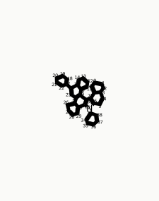 C1=CCC2C=Cc3c(c4c5c6ccccc6c(-c6ccccc6)cc5c5ccccc5c4n3-c3ccccc3)C2=C1